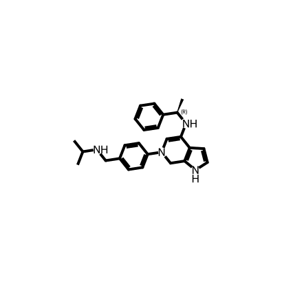 CC(C)NCc1ccc(N2C=C(N[C@H](C)c3ccccc3)c3cc[nH]c3C2)cc1